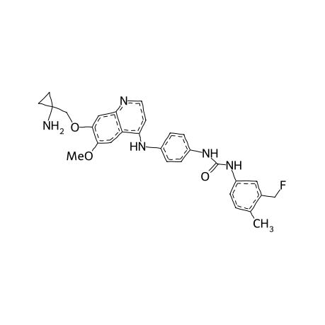 COc1cc2c(Nc3ccc(NC(=O)Nc4ccc(C)c(CF)c4)cc3)ccnc2cc1OCC1(N)CC1